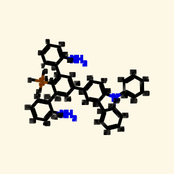 CS(C)(C)c1c(-c2ccccc2N)cc(-c2ccc3c(c2)c2ccccc2n3-c2ccccc2)cc1-c1ccccc1N